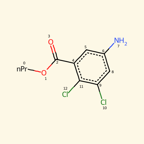 CCCOC(=O)c1cc(N)cc(Cl)c1Cl